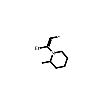 CC/C=C(/CC)N1CCCCC1C